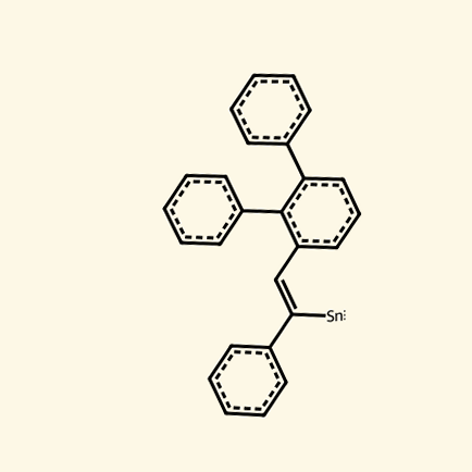 [Sn][C](=Cc1cccc(-c2ccccc2)c1-c1ccccc1)c1ccccc1